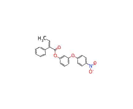 CC=C(C(=O)Oc1cccc(Oc2ccc([N+](=O)[O-])cc2)c1)c1ccccc1